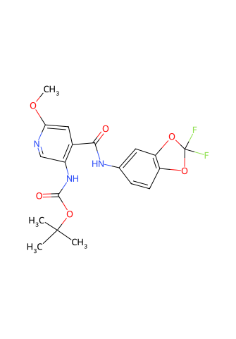 COc1cc(C(=O)Nc2ccc3c(c2)OC(F)(F)O3)c(NC(=O)OC(C)(C)C)cn1